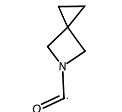 O=[C]N1CC2(CC2)C1